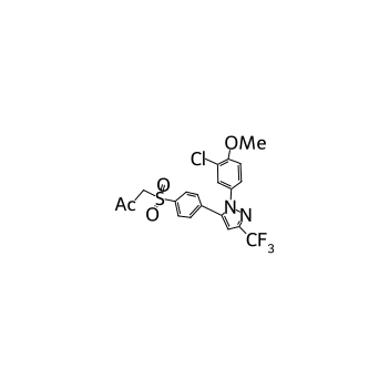 COc1ccc(-n2nc(C(F)(F)F)cc2-c2ccc(S(=O)(=O)CC(C)=O)cc2)cc1Cl